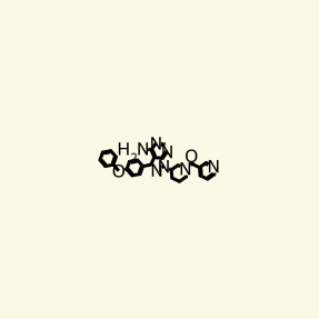 Nc1ncnc2c1c(-c1ccc(Oc3ccccc3)cc1)nn2C1CCCN(C(=O)c2cccnc2)C1